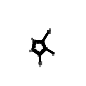 Cc1c(Cl)nsc1Cl